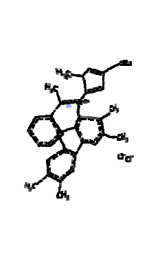 C/[C](c1ccccc1)=[Zr+2](\[C]1=CC(C(C)(C)C)=CC1C)[c]1c(C)c(C)cc2c1Cc1cc(C)c(C)cc1-2.[Cl-].[Cl-]